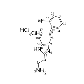 Cl.Cl.NCCc1nc2cc(-c3ccccc3F)ccc2[nH]1